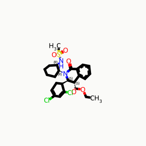 CCOC(=O)[C@H]1c2ccccc2C(=O)N([C@@H]2CCCC[C@H]2NS(C)(=O)=O)[C@@H]1C1CC=C(Cl)C=C1Cl